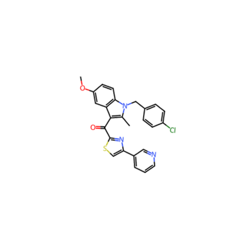 COc1ccc2c(c1)c(C(=O)c1nc(-c3cccnc3)cs1)c(C)n2Cc1ccc(Cl)cc1